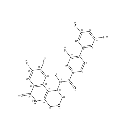 CN(C(=O)c1ccc(-c2cc(F)cc(F)c2)c(F)c1)C1COCc2[nH]c(=O)c3cc(F)c(F)cc3c21